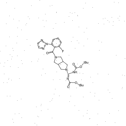 CC(C)(C)OC(=O)N=C(NC(=O)OC(C)(C)C)N1CC2CN(C(=O)c3c(F)cccc3-n3nccn3)CC2C1